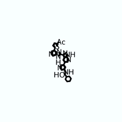 CC(=O)c1ccc(-c2cncc3[nH]c(-c4n[nH]c5ncc(-c6cncc(NC(O)C7CCCCC7)c6)cc45)nc23)s1